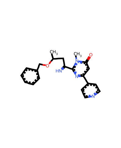 CC(CC(=N)c1nc(-c2ccncc2)cc(=O)n1C)OCc1ccccc1